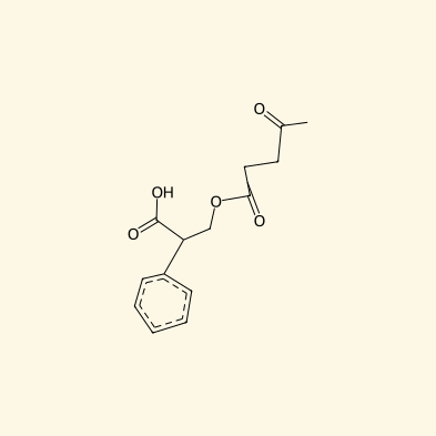 CC(=O)CCC(=O)OCC(C(=O)O)c1ccccc1